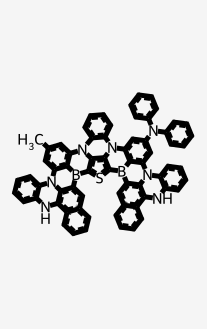 Cc1cc2c3c(c1)N1c4ccccc4Nc4c1c(cc1ccccc41)B3c1sc3c4c1N2c1ccccc1N4c1cc(N(c2ccccc2)c2ccccc2)cc2c1B3c1cc3ccccc3c3c1N2c1ccccc1N3